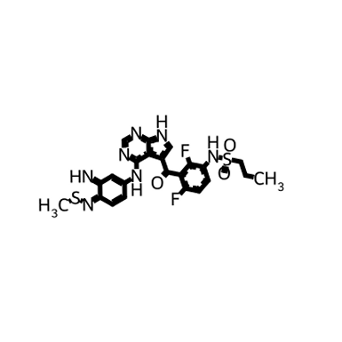 CCCS(=O)(=O)Nc1ccc(F)c(C(=O)c2c[nH]c3ncnc(NC4=CC(=N)/C(=N\SC)C=C4)c23)c1F